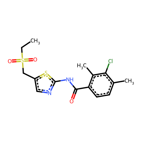 CCS(=O)(=O)Cc1cnc(NC(=O)c2ccc(C)c(Cl)c2C)s1